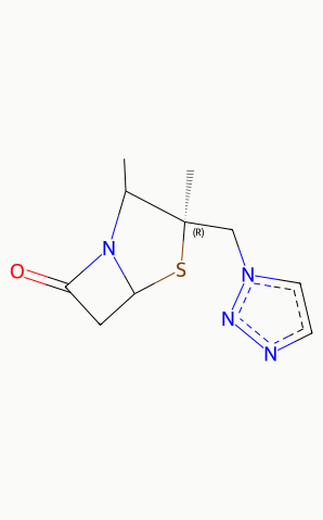 CC1N2C(=O)CC2S[C@]1(C)Cn1ccnn1